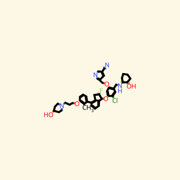 Cc1c(OCCCN2CCC(O)CC2)cccc1-c1cccc2c1C[C@H](F)[C@@H]2Oc1cc(OCc2cncc(C#N)c2)c(CN[C@@H]2CCCC[C@@H]2O)cc1Cl